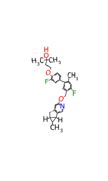 Cc1cc(F)c(COc2cc3c(cn2)[C@@H]2[C@@H](C)[C@@H]2C3)cc1-c1ccc(OCCC(C)(C)O)c(F)c1